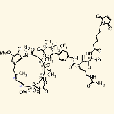 COc1cc2cc(c1Cl)N(C)C(=O)C[C@H](OC(=O)[C@H](C)N(C)C(=O)c1ccc(NC(=O)[C@H](CCCNC(N)=O)NC(=O)[C@@H](NC(=O)CCCCCN3C(=O)C=CC3=O)C(C)C)cc1C(F)(F)F)[C@]1(C)O[C@H]1[C@H](C)[C@@H]1C[C@@](O)(NC(=O)O1)[C@H](OC)/C=C/C=C(\C)C2